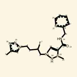 Cc1cn(CCC(F)CN2C=C(C(=O)NCc3ccccn3)N(C)N2)nn1